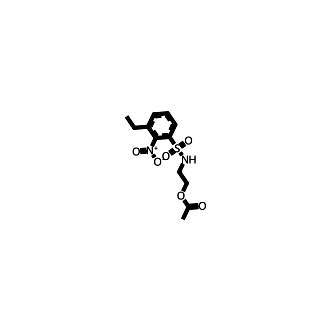 CCc1cccc(S(=O)(=O)NCCOC(C)=O)c1[N+](=O)[O-]